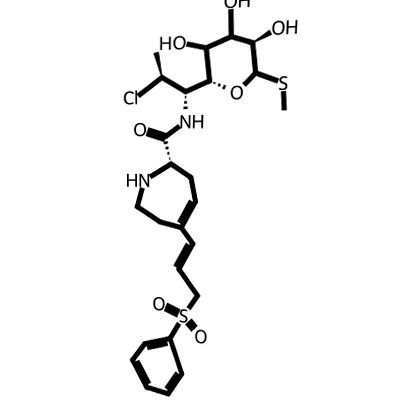 CSC1O[C@H]([C@H](NC(=O)[C@@H]2CC=C(/C=C/CS(=O)(=O)c3ccccc3)CCN2)[C@H](C)Cl)C(O)C(O)[C@H]1O